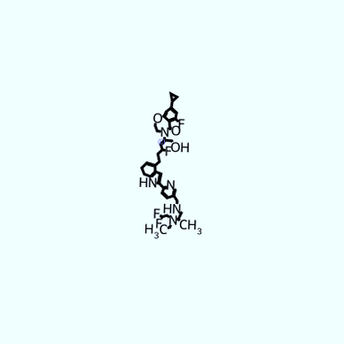 CCN(CC(F)F)C(C)CNCc1ccc(-c2cc3c([nH]2)CCC=C3CCC(F)/C=C(\CO)N2CCOc3cc(C4CC4)cc(F)c3C2=O)nc1